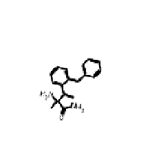 CC(c1ccccc1Cc1ccccc1)C(C)(N)C(N)=O